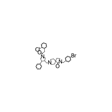 O=C(Cc1ccccc1Cl)N1CC(CN2CCC3(CC2)CCN(Cc2ccc(Br)cc2)C3=O)C(c2ccccc2)C1